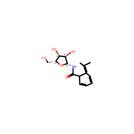 CC(C)=C1C=CC=CC1C(=O)N[C@@H]1O[C@H](CO)[C@@H](O)[C@H]1O